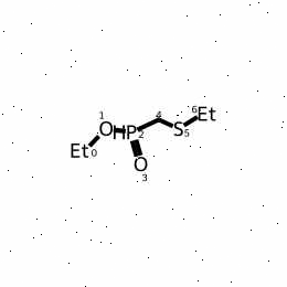 CCO[PH](=O)CSCC